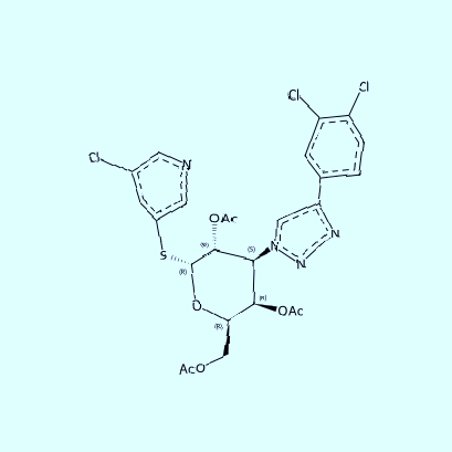 CC(=O)OC[C@H]1O[C@H](Sc2cncc(Cl)c2)[C@H](OC(C)=O)[C@@H](n2cc(-c3ccc(Cl)c(Cl)c3)nn2)[C@H]1OC(C)=O